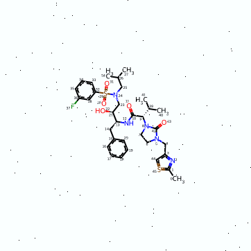 Cc1nc(CN2CCN([C@H](C(=O)N[C@@H](Cc3ccccc3)[C@@H](O)CN(CC(C)C)S(=O)(=O)c3cccc(F)c3)C(C)C)C2=O)cs1